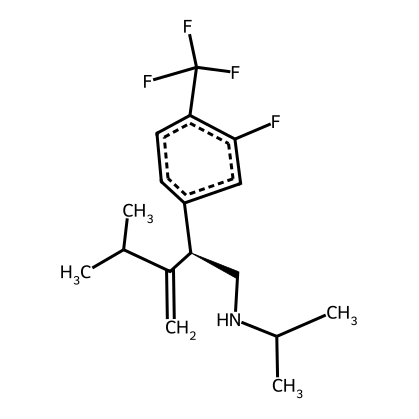 C=C(C(C)C)[C@H](CNC(C)C)c1ccc(C(F)(F)F)c(F)c1